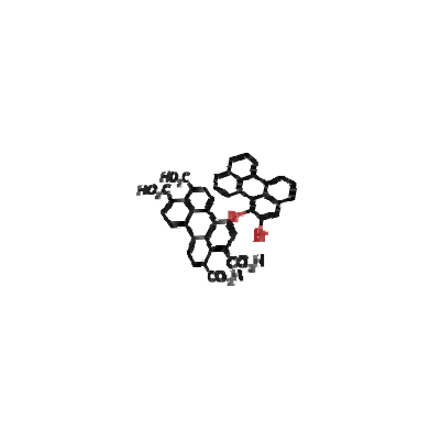 Brc1cc2cccc3c4cccc5cccc(c(c1Br)c23)c54.O=C(O)c1ccc2c3ccc(C(=O)O)c4c(C(=O)O)ccc(c5ccc(C(=O)O)c1c25)c43